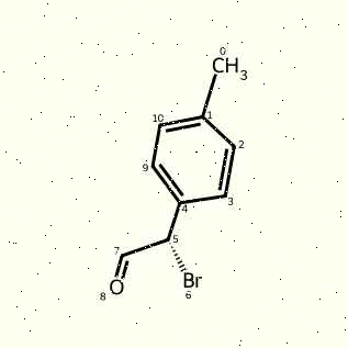 Cc1ccc([C@H](Br)C=O)cc1